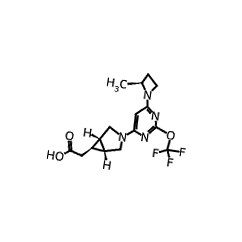 C[C@H]1CCN1c1cc(N2C[C@@H]3[C@@H](CC(=O)O)[C@@H]3C2)nc(OC(F)(F)F)n1